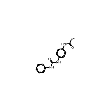 CC(C)C(=O)Nc1ccc(NC(=O)Nc2ccccc2)cc1